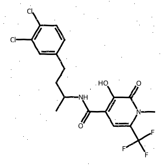 CC(CCc1ccc(Cl)c(Cl)c1)NC(=O)c1cc(C(F)(F)F)n(C)c(=O)c1O